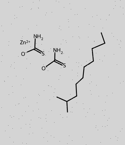 CCCCCCCCC(C)C.NC([O-])=S.NC([O-])=S.[Zn+2]